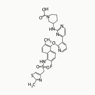 Cc1nc(CS(=O)(=O)Nc2c(F)ccc3c(Oc4ncccc4-c4ccnc(NC5CCCN(C(=O)O)C5)n4)c(C)ccc23)cs1